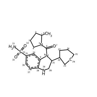 CC1CCCN1C(=O)N1c2cc(S(N)(=O)=O)cnc2NCC1C1CCCCC1